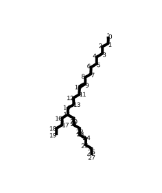 [CH2]CCCCCCCCC=CCCCCC(CCCC)CCCCCCC[CH2]